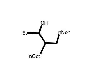 CCCCCCCCCC[C](CCCCCCCC)C(O)CC